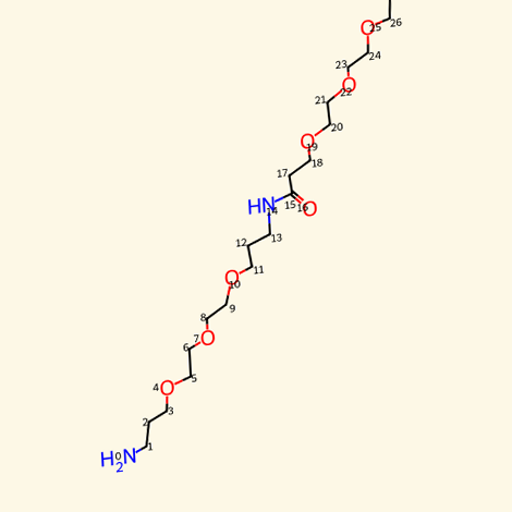 NCCCOCCOCCOCCCNC(=O)CCOCCOCCOCCO